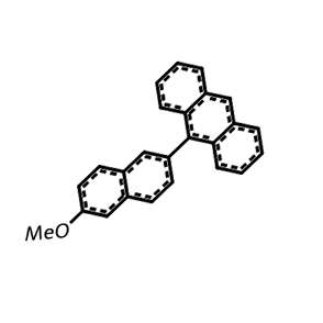 COc1ccc2cc(-c3c4ccccc4cc4ccccc34)ccc2c1